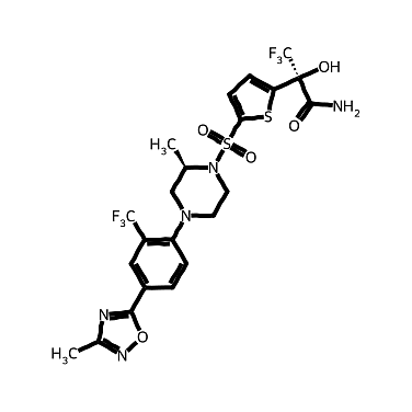 Cc1noc(-c2ccc(N3CCN(S(=O)(=O)c4ccc([C@@](O)(C(N)=O)C(F)(F)F)s4)[C@H](C)C3)c(C(F)(F)F)c2)n1